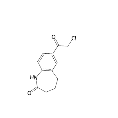 O=C1CCCc2cc(C(=O)CCl)ccc2N1